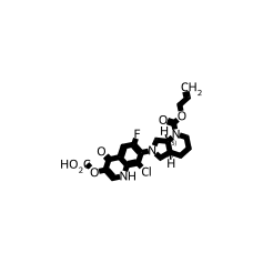 C=CCOC(=O)N1CCC[C@H]2CN(c3c(F)cc4c(=O)c(OC(=O)O)c[nH]c4c3Cl)C[C@H]21